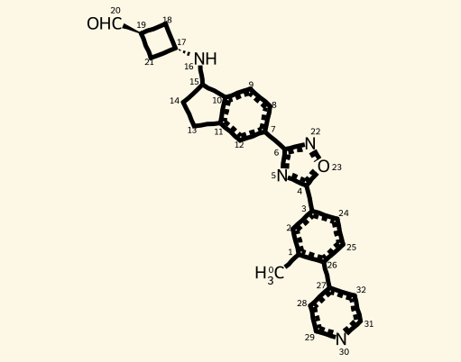 Cc1cc(-c2nc(-c3ccc4c(c3)CCC4N[C@H]3C[C@H](C=O)C3)no2)ccc1-c1ccncc1